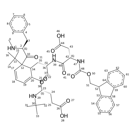 CN[C@@H](Cc1ccccc1)C(=O)C1(C(C)(C)C)C=CC=C(C(=O)[C@H](CCC(=O)O)NC(C)(C)C)C1C[C@@H]([C]=O)NC(=O)[C@H](CC(=O)O)NC(=O)OCC1c2ccccc2-c2ccccc21